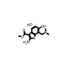 COC(=O)c1c(N)sc2c(CN(C)C)c(O)ccc12.Cl